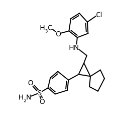 COc1ccc(Cl)cc1NCC1C(c2ccc(S(N)(=O)=O)cc2)C12CCCC2